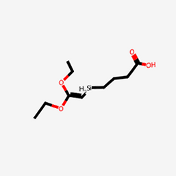 CCOC(=C[SiH2]CCCC(=O)O)OCC